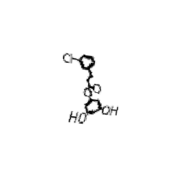 O=C(CCc1cccc(Cl)c1)Oc1cc(O)cc(O)c1